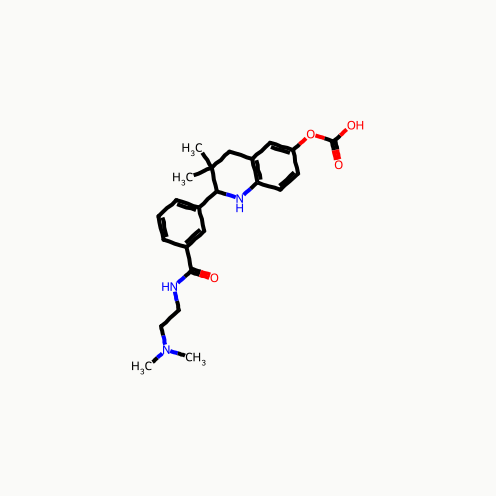 CN(C)CCNC(=O)c1cccc(C2Nc3ccc(OC(=O)O)cc3CC2(C)C)c1